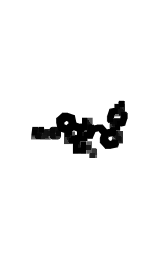 COc1cccc2c1nc(N)n1cc(Cc3cccnc3N3CCN(C)CC3)nc21